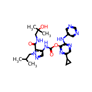 CC(C)Cn1ncc(NC(=O)Oc2nc(C3CC3)cnc2Nc2cncnc2)c1C(=O)NCC(C)(C)O